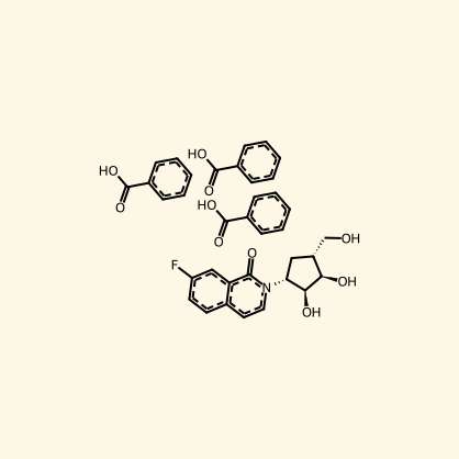 O=C(O)c1ccccc1.O=C(O)c1ccccc1.O=C(O)c1ccccc1.O=c1c2cc(F)ccc2ccn1[C@@H]1C[C@H](CO)[C@@H](O)[C@H]1O